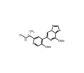 CCN[C@H](C)c1cc(-c2cn3ncnc3c(OC)n2)c(OC)cn1